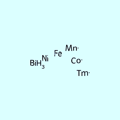 [BiH3].[Co].[Fe].[Mn].[Ni].[Tm]